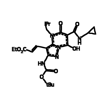 CCOC(=O)/C=C/c1c(NC(=O)OC(C)(C)C)nn2c(O)c(C(=O)NC3CC3)c(=O)n(CC(C)C)c12